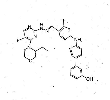 CCC1COCCN1c1nc(N/N=C/c2ccc(Nc3ccc(-c4cccc(O)c4)cc3)cc2C)ncc1F